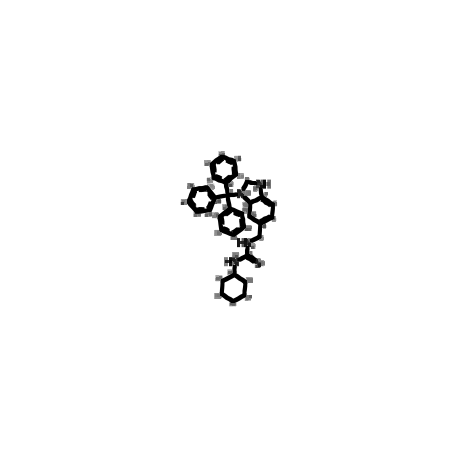 S=C(NCC1=CC=C2NCN(C(c3ccccc3)(c3ccccc3)c3ccccc3)C2C1)NC1CCCCC1